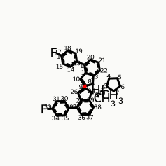 [CH3][Hf]([CH3])(=[C]1CCCC1)([CH]1C=Cc2c(-c3ccc(F)cc3)cccc21)[CH]1C=Cc2c(-c3ccc(F)cc3)cccc21